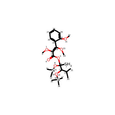 COC(C(=O)OC([SiH3])(O[Si](C)(C)C)C(O[Si](C)(C)C)C(C)C)=C(OC)c1ccccc1OC